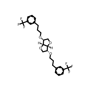 FC(F)(F)c1cccc(CCCO[C@H]2CO[C@H]3[C@@H]2OC[C@H]3OCCCc2cccc(C(F)(F)F)c2)c1